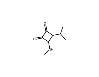 CNC1C(=O)C(=O)C1C(C)C